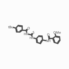 COc1ccccc1C(=O)Nc1ccc(NC(=S)NC(=O)c2ccc(C(C)(C)C)cc2)cc1